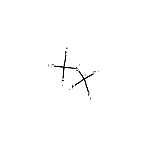 FC(F)(F)SC(F)(F)F